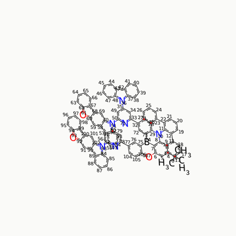 CC(C)(C)c1cc2c3c(c1)N(c1c(-c4ccccc4)cccc1-c1ccccc1)c1ccc(-c4cc(-n5c6ccccc6c6ccccc65)cc(-n5c6ccccc6c6cc7oc8ccccc8c7cc65)n4)cc1B3c1cc(-c3cccc(-n4c5ccccc5c5cc6oc7ccccc7c6cc54)n3)ccc1O2